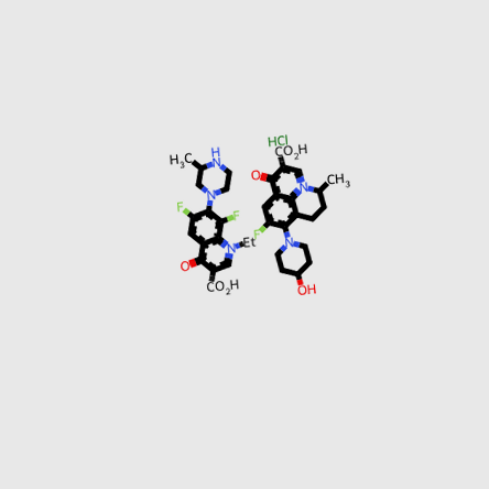 CC1CCc2c(N3CCC(O)CC3)c(F)cc3c(=O)c(C(=O)O)cn1c23.CCn1cc(C(=O)O)c(=O)c2cc(F)c(N3CCNC(C)C3)c(F)c21.Cl